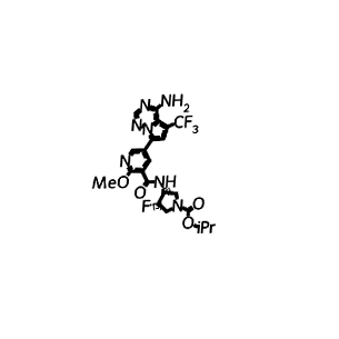 COc1ncc(-c2cc(C(F)(F)F)c3c(N)ncnn23)cc1C(=O)N[C@@H]1CN(C(=O)OC(C)C)C[C@@H]1F